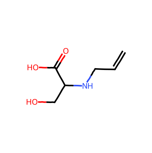 C=CCNC(CO)C(=O)O